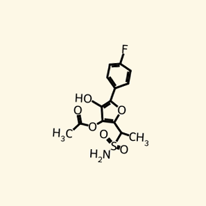 CC(=O)Oc1c(C(C)S(N)(=O)=O)oc(-c2ccc(F)cc2)c1O